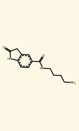 NCCCCNC(=O)c1ccc2c(c1)CC(=O)N2